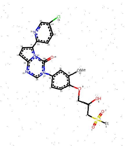 CCS(=O)(=O)CC(O)COc1ccc(-n2cnc3ccc(-c4ccc(Cl)cn4)n3c2=O)cc1OC